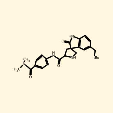 CN(C)C(=O)c1ccc(NC(=O)C2CC3(CN2)C(=O)Nc2ccc(CC(C)(C)C)cc23)cc1